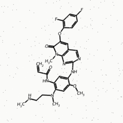 C=CC(=O)Nc1cc(Nc2ncc3cc(Oc4ccc(F)cc4F)c(=O)n(C)c3n2)c(OC)cc1N(C)CCNC